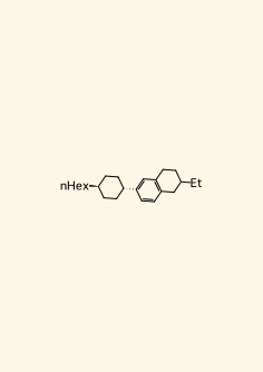 CCCCCC[C@H]1CC[C@H](c2ccc3c(c2)CCC(CC)C3)CC1